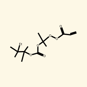 C=CC(=O)OOC(C)(C)OC(=O)OC(C)(C)C(C)(C)CC